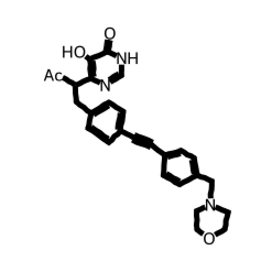 CC(=O)C(Cc1ccc(C#Cc2ccc(CN3CCOCC3)cc2)cc1)c1nc[nH]c(=O)c1O